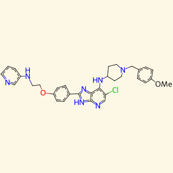 COc1ccc(CN2CCC(Nc3c(Cl)cnc4[nH]c(-c5ccc(OCCNc6cccnc6)cc5)nc34)CC2)cc1